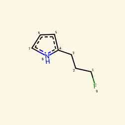 FCCCc1ccc[nH]1